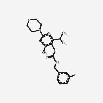 Cc1cc(N2CCOCC2)nc(C(C)C)c1OC(=O)NCc1cccc(F)c1